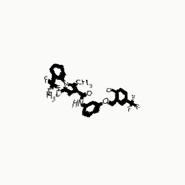 Cc1cc(C(=O)Nc2cccc(OCc3cc(C(F)(F)F)ccc3Cl)c2)c(C)n1-c1ccccc1C(F)(F)F